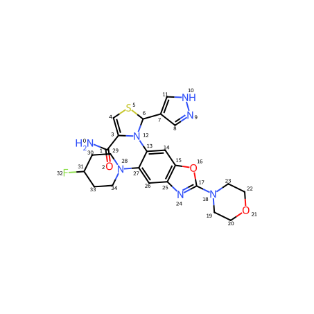 NC(=O)C1=CSC(c2cn[nH]c2)N1c1cc2oc(N3CCOCC3)nc2cc1N1CCC(F)CC1